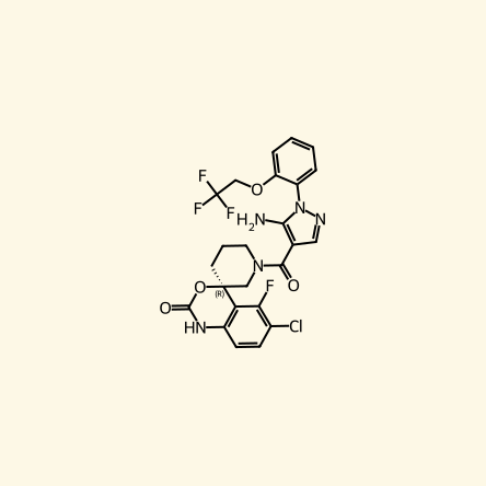 Nc1c(C(=O)N2CCC[C@@]3(C2)OC(=O)Nc2ccc(Cl)c(F)c23)cnn1-c1ccccc1OCC(F)(F)F